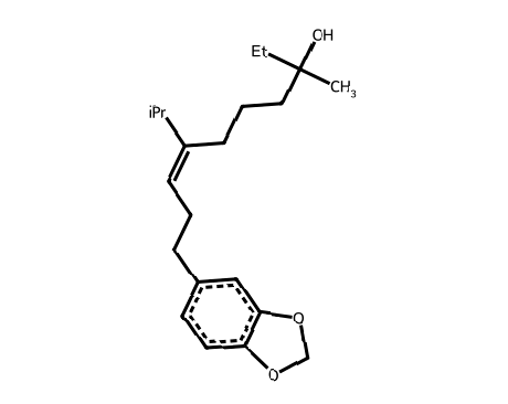 CCC(C)(O)CCCC(=CCCc1ccc2c(c1)OCO2)C(C)C